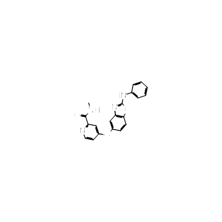 CNC(=O)c1cc(Oc2ccc3oc(Nc4ccccc4)nc3c2)ccn1